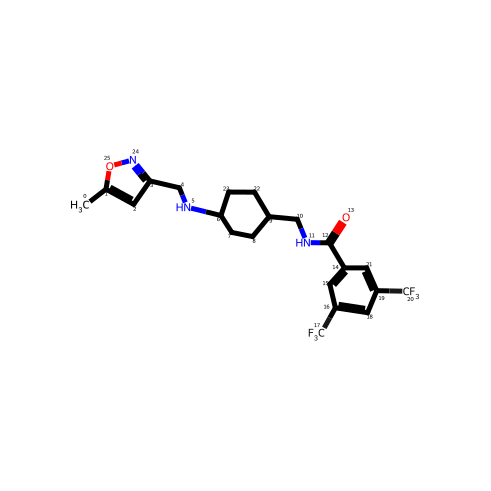 Cc1cc(CNC2CCC(CNC(=O)c3cc(C(F)(F)F)cc(C(F)(F)F)c3)CC2)no1